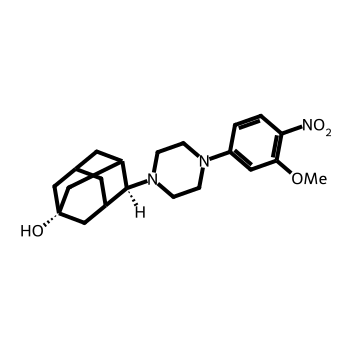 COc1cc(N2CCN([C@H]3C4CC5CC3C[C@](O)(C5)C4)CC2)ccc1[N+](=O)[O-]